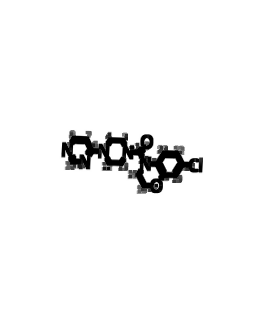 O=C(N1CCN(c2ccncn2)CC1)N1CCOc2cc(Cl)ccc21